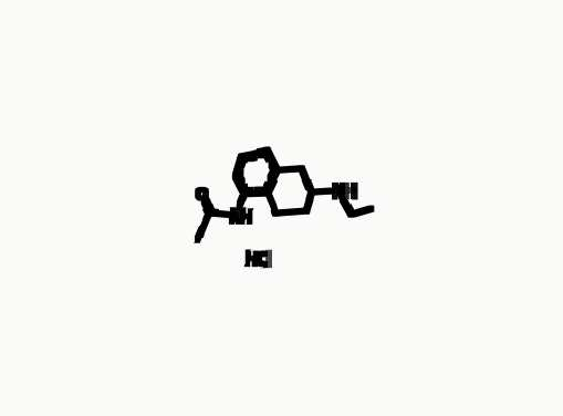 CCNC1CCc2c(cccc2NC(C)=O)C1.Cl